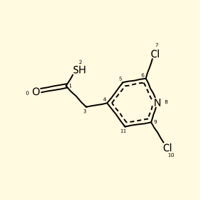 O=C(S)Cc1cc(Cl)nc(Cl)c1